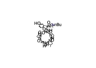 CCCC/C=C/C(=O)N[C@@H](Cc1cccc(O)c1)C(=O)N[C@@H]1C(=O)N2CCC[C@H]2C(=O)N2CCC(C)C[C@H]2C(=O)N[C@@H](C)C(=O)N2CCC[C@H]2C(=O)O[C@H]1C